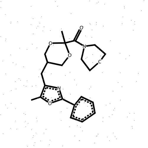 Cc1oc(-c2ccccc2)nc1CC1COC(C)(C(=O)N2CCCCC2)OC1